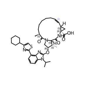 CC(C)n1c(O[C@H]2CN3C(=O)[C@@H](C)CCCCC/C=C\[C@@H]4C[C@@]4(C(=O)O)NC(=O)[C@@H]3[C@@H]2C)nc2c(-c3nc(C4CCCCC4)cs3)cccc21